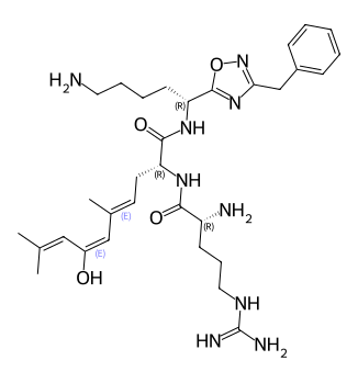 CC(C)=C/C(O)=C\C(C)=C\C[C@@H](NC(=O)[C@H](N)CCCNC(=N)N)C(=O)N[C@H](CCCCN)c1nc(Cc2ccccc2)no1